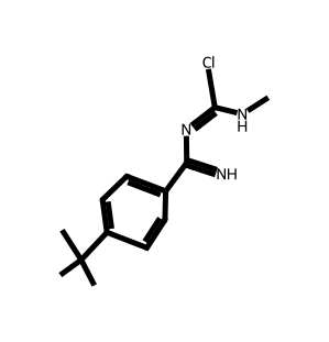 CN/C(Cl)=N\C(=N)c1ccc(C(C)(C)C)cc1